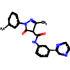 CC1=NN(c2cccc(C(F)(F)F)c2)C(=O)C1C(=O)Nc1cccc(-c2cnccn2)c1